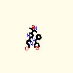 Cc1noc(C)c1-c1cnc2c3ccc(C=O)nc3n(C(c3ccccc3)C3CCOCC3)c2c1